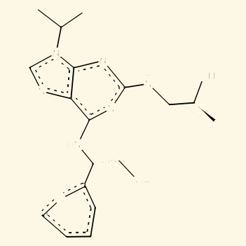 CC(C)n1cnc2c(N[C@H](CO)c3ccccc3)nc(NC[C@H](C)O)nc21